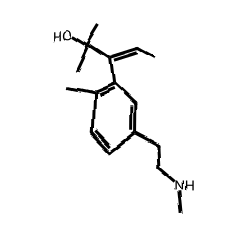 C/C=C(\c1cc(CCNC)ccc1C)C(C)(C)O